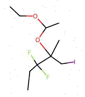 CCOC(C)OC(C)(CI)C(F)(F)CC